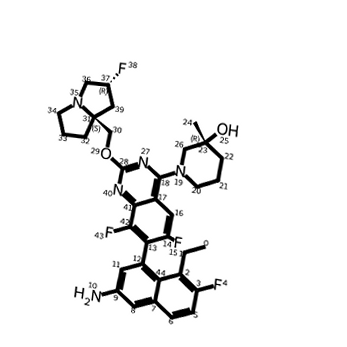 CCc1c(F)ccc2cc(N)cc(-c3c(F)cc4c(N5CCC[C@@](C)(O)C5)nc(OC[C@@]56CCCN5C[C@H](F)C6)nc4c3F)c12